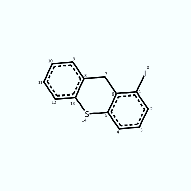 Ic1cccc2c1Cc1ccccc1S2